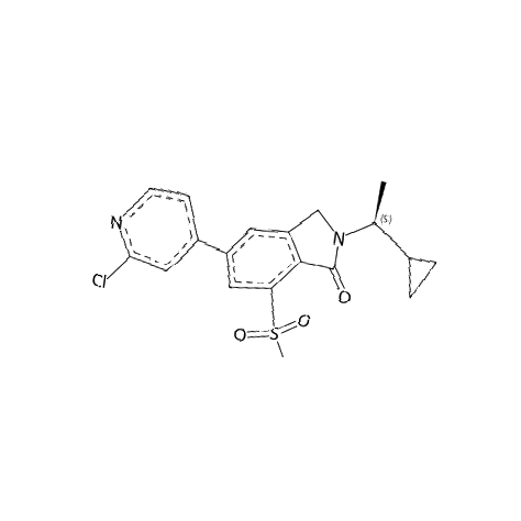 C[C@@H](C1CC1)N1Cc2cc(-c3ccnc(Cl)c3)cc(S(C)(=O)=O)c2C1=O